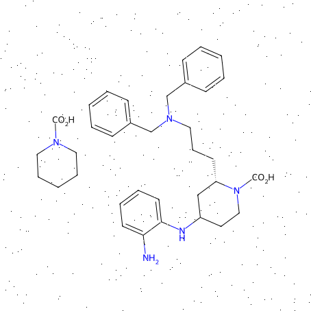 Nc1ccccc1NC1CCN(C(=O)O)[C@@H](CCCN(Cc2ccccc2)Cc2ccccc2)C1.O=C(O)N1CCCCC1